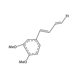 [CH2]CC=CC=Cc1ccc(OC)c(OC)c1